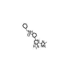 Cc1nc(-c2nc(-c3cccc(C(=O)NCc4ccccc4)c3)cnc2N)nn1C